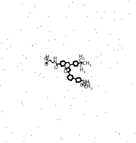 CC(C)(C)c1ccc(C(Cc2ccc(C(=O)NCC[SH](=O)=O)cc2)c2cc(-c3cccc(-c4ccc(NS(C)(=O)=O)cc4)c3)on2)cc1